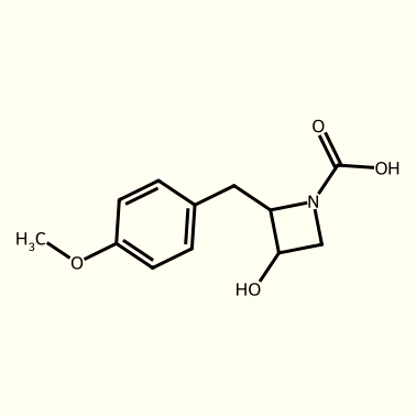 COc1ccc(CC2C(O)CN2C(=O)O)cc1